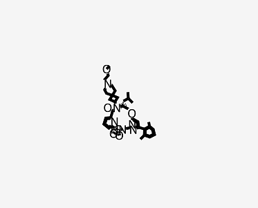 COCCN1CCC2(CC1)CC(N1C(=O)c3cccc(n3)S(=O)(=O)Nc3nc(cc(-c4c(C)cccc4C)n3)OC[C@H]1CC(C)C)C2